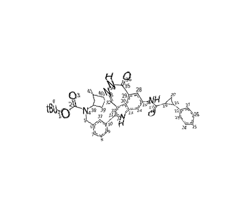 CC(C)(C)OC(=O)N(Cc1cccc(-c2[nH]c3cc(NC(=O)C4CC4c4ccccc4)cc4c3c2C=NNC4=O)c1)C1CCC1